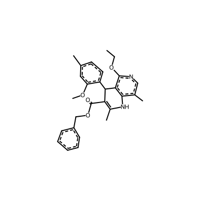 CCOc1ncc(C)c2c1C(c1ccc(C)cc1OC)C(C(=O)OCc1ccccc1)=C(C)N2